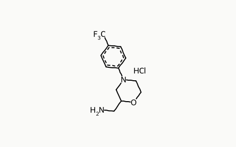 Cl.NCC1CN(c2ccc(C(F)(F)F)cc2)CCO1